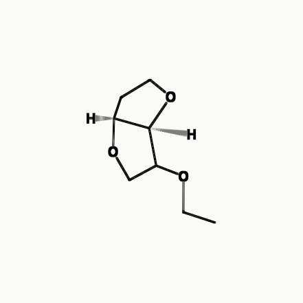 CCOC1CO[C@H]2CCO[C@@H]12